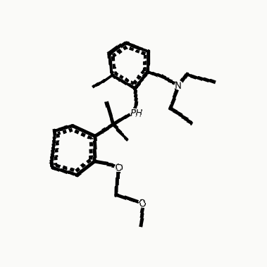 CCN(CC)c1cccc(C)c1PC(C)(C)c1ccccc1OCOC